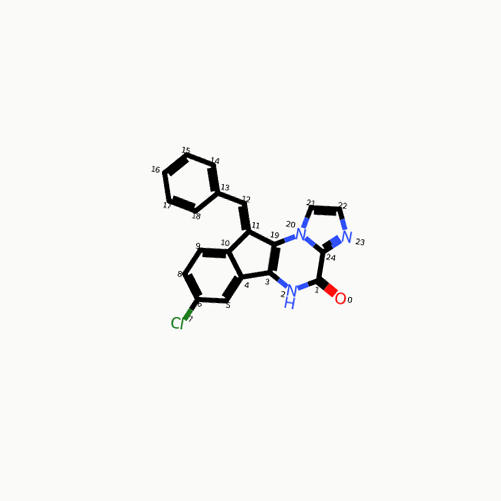 O=c1[nH]c2c3cc(Cl)ccc3c(=Cc3ccccc3)c2n2ccnc12